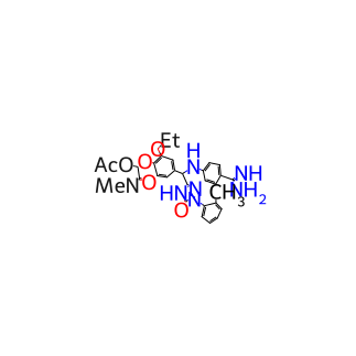 CCOc1cc(C(Nc2ccc(C(=N)N)cc2)c2nn(-c3ccccc3C)c(=O)[nH]2)ccc1OC(OC(C)=O)C(=O)NC